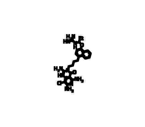 CCC(NC(=N)N)Oc1ccc(CCCCN(C(=N)N)C(=O)c2nc(Cl)c(N)nc2N)c2ccccc12